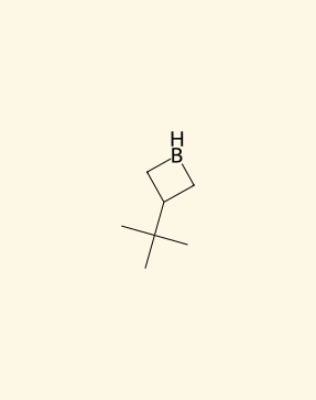 CC(C)(C)C1CBC1